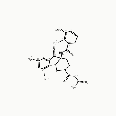 C=C(C)OC(=O)N1CCC(NC(=O)c2cccc(OC)c2C)(C(=O)c2cc(C)cc(C)c2)CC1